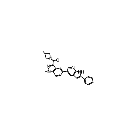 CC1CN(C(=O)c2n[nH]c3ccc(-c4cnc5[nH]c(-c6ccccc6)cc5c4)cc23)C1